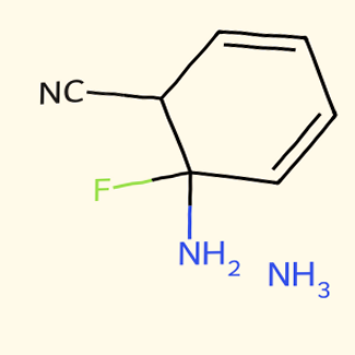 N.N#CC1C=CC=CC1(N)F